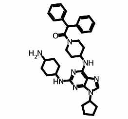 NC1CCC(Nc2nc(NC3CCN(C(=O)C(c4ccccc4)c4ccccc4)CC3)c3ncn(C4CCCC4)c3n2)CC1